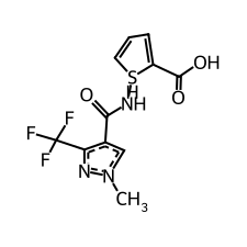 Cn1cc(C(=O)N[SH]2C=CC=C2C(=O)O)c(C(F)(F)F)n1